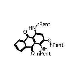 CCCCCNc1cc(OCCCCC)c(NCCCCC)c2c1C(=O)c1ccccc1C2=O